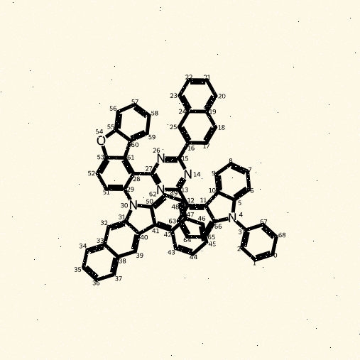 c1ccc(-n2c3ccccc3c3c(-c4nc(-c5ccc6ccccc6c5)nc(-c5c(-n6c7cc8ccccc8cc7c7c8ccccc8ccc76)ccc6oc7ccccc7c56)n4)cccc32)cc1